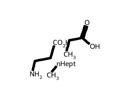 CCC(=O)O.CCCCCCCC.NCCC(=O)O